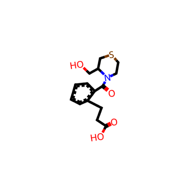 O=C(O)CCc1ccccc1C(=O)N1CCSCC1CO